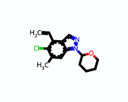 C=Cc1c(Cl)c(C)cc2c1cnn2C1CCCCO1